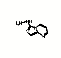 NNc1ncc2ncccn12